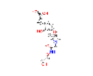 O=C(CN1CC(Oc2ccc(C3CC3B(O)O)c(O)c2C(=O)O)C1)NOCCO